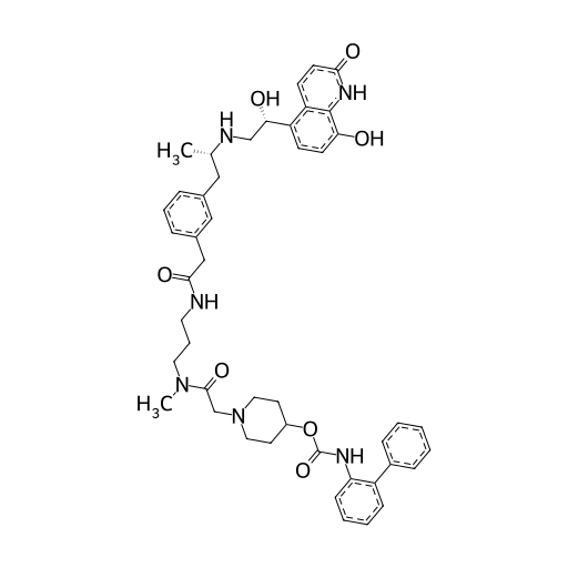 C[C@@H](Cc1cccc(CC(=O)NCCCN(C)C(=O)CN2CCC(OC(=O)Nc3ccccc3-c3ccccc3)CC2)c1)NC[C@H](O)c1ccc(O)c2[nH]c(=O)ccc12